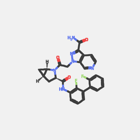 NC(=O)c1nn(CC(=O)N2[C@@H]3C[C@@H]3C[C@H]2C(=O)Nc2cccc(-c3ccccc3F)c2F)c2cnccc12